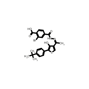 CC(=NNC(=O)c1ccc(C(=O)O)c(Br)c1)c1csc(-c2ccc(C(C)(C)C)cc2)c1O